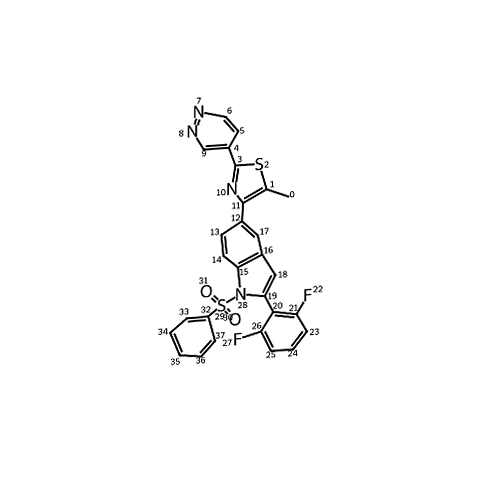 Cc1sc(-c2ccnnc2)nc1-c1ccc2c(c1)cc(-c1c(F)cccc1F)n2S(=O)(=O)c1ccccc1